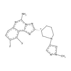 Cn1cc(N2CCC[C@@H](c3nc4c5c(F)c(F)ccc5nc(N)n4n3)C2)cn1